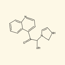 CCCC(C(=O)c1ccnc2ccccc12)N1C=CNC1